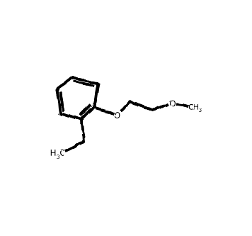 CCc1[c]cccc1OCCOC